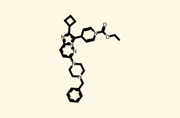 CCOC(=O)N1C=CC(c2c(C3CCC3)nc3ccc(N4CCN(Cc5ccccc5)CC4)nn23)C=C1